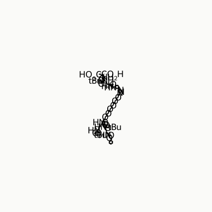 CC(C)(C)OC(=O)NCCCC[C@H](NC(=O)CCOCCOCCOCCOCCOCCOCCn1cc(-c2cccc(NC(=O)NCCCC[C@H](NC(=O)N[C@@H](CCC(=O)O)C(=O)O)C(=O)OC(C)(C)C)c2)nn1)C(=O)N[C@@H](CCCCNC(=O)OCc1ccccc1)C(=O)OC(C)(C)C